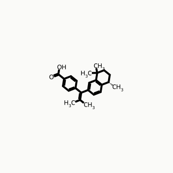 CC(C)=C(c1ccc(C(=O)O)cc1)c1ccc2c(c1)C(C)(C)CC[C@@H]2C